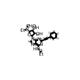 CCONc1nc(C#Cc2ccccc2)nc2c1ncn2[C@@H]1O[C@H](N(C=O)CC)[C@@H](O)[C@H]1O